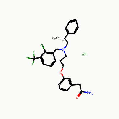 C[C@@H](CN(CCCOc1cccc(CC(N)=O)c1)Cc1cccc(C(F)(F)F)c1Cl)c1ccccc1.Cl